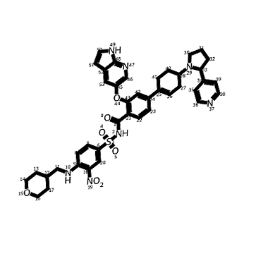 O=C(NS(=O)(=O)c1ccc(NCC2CCOCC2)c([N+](=O)[O-])c1)c1ccc(C2=CCC(N3CCCC3c3ccncc3)CC2)cc1Oc1cnc2[nH]ccc2c1